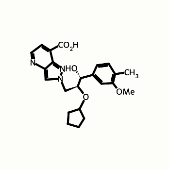 COc1cc([C@@H](O)[C@H](Cn2cc3nccc(C(=O)O)c3n2)OC2CCCC2)ccc1C